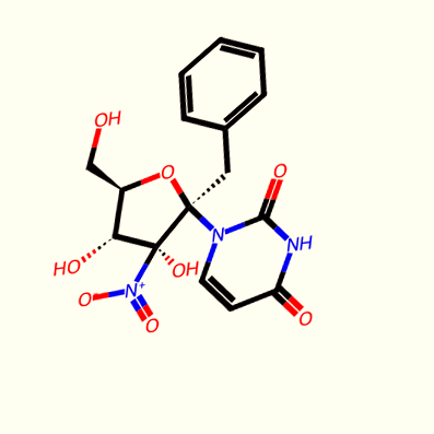 O=c1ccn([C@]2(Cc3ccccc3)O[C@H](CO)[C@@H](O)[C@]2(O)[N+](=O)[O-])c(=O)[nH]1